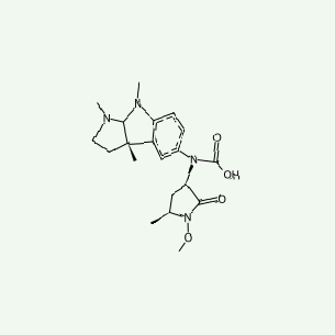 CON1C(=O)[C@H](N(C(=O)O)c2ccc3c(c2)[C@]2(C)CCN(C)C2N3C)C[C@@H]1C